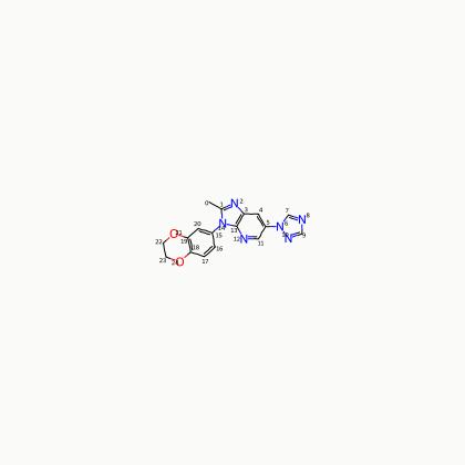 Cc1nc2cc(-n3cncn3)cnc2n1-c1ccc2c(c1)OCCO2